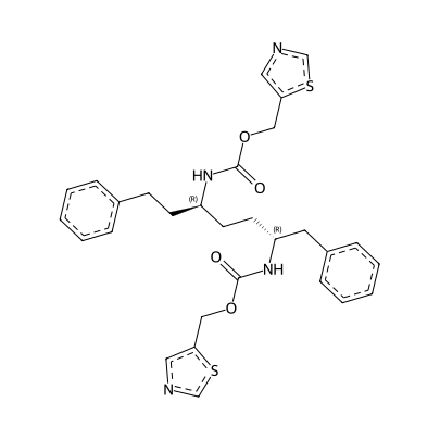 O=C(N[C@H](CCc1ccccc1)CC[C@H](Cc1ccccc1)NC(=O)OCc1cncs1)OCc1cncs1